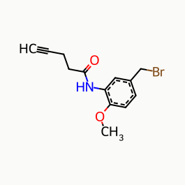 C#CCCC(=O)Nc1cc(CBr)ccc1OC